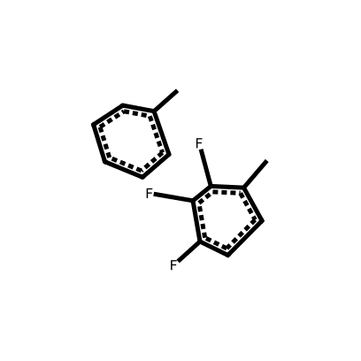 Cc1ccc(F)c(F)c1F.Cc1ccccc1